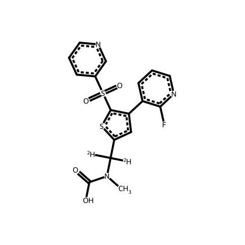 [2H]C([2H])(c1cc(-c2cccnc2F)c(S(=O)(=O)c2cccnc2)s1)N(C)C(=O)O